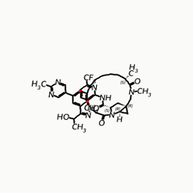 Cc1ncc(-c2cc3c4c(c2)c(C(C)O)nn4CC(=O)N2[C@H](C(=O)Nc4nc(C(F)(F)F)ccc4C)C[C@]4(C[C@@H]24)CN(C)C(=O)[C@@H](C)CCCCC3)cn1